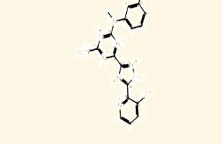 CN(c1cccc(F)c1)c1nc(N)nc(-c2noc(-c3ncccc3F)n2)n1